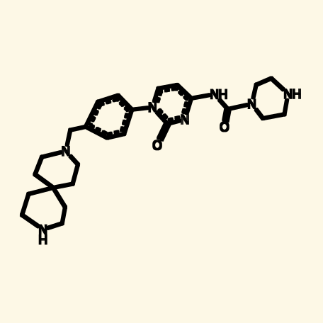 O=C(Nc1ccn(-c2ccc(CN3CCC4(CCNCC4)CC3)cc2)c(=O)n1)N1CCNCC1